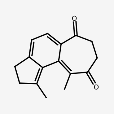 CC1=c2c(ccc3c2=C(C)C(=O)CCC3=O)CC1